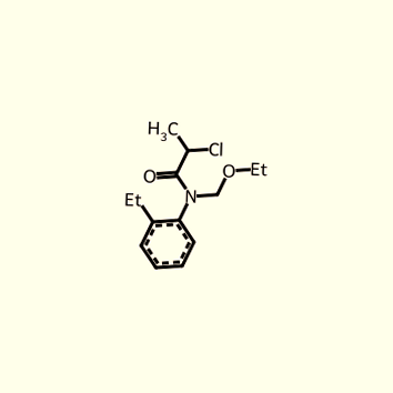 CCOCN(C(=O)C(C)Cl)c1ccccc1CC